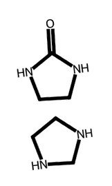 C1CNCN1.O=C1NCCN1